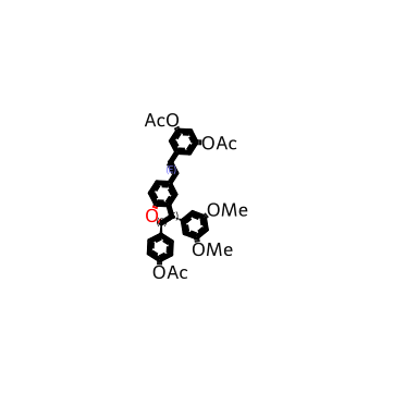 COc1cc(OC)cc([C@H]2c3cc(/C=C/c4cc(OC(C)=O)cc(OC(C)=O)c4)ccc3O[C@@H]2c2ccc(OC(C)=O)cc2)c1